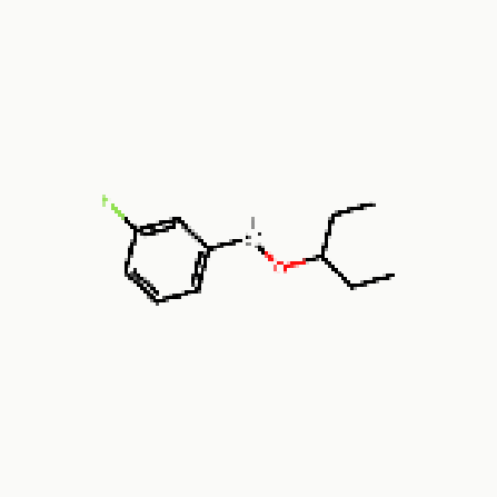 CCC(CC)O[SiH2]c1cccc(F)c1